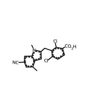 Cc1cc(C#N)cc2c1cc(Cc1c(Cl)ccc(C(=O)O)c1Cl)n2C